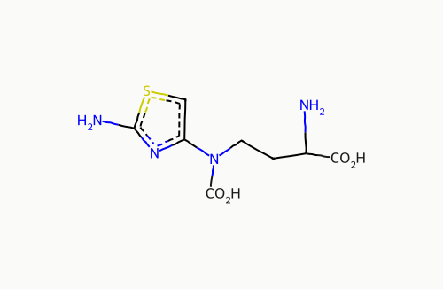 Nc1nc(N(CCC(N)C(=O)O)C(=O)O)cs1